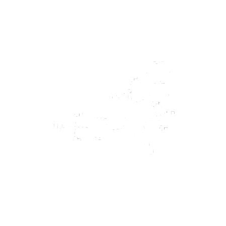 C[SiH](C)[Zr+2]([c]1c(C(C)(C)C)ccc2c1Cc1cc(C(C)(C)C)ccc1-2)[CH]1C=Cc2ccccc21.[Cl-].[Cl-]